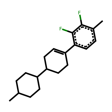 Cc1ccc(C2=CCC(C3CCC(C)CC3)CC2)c(F)c1F